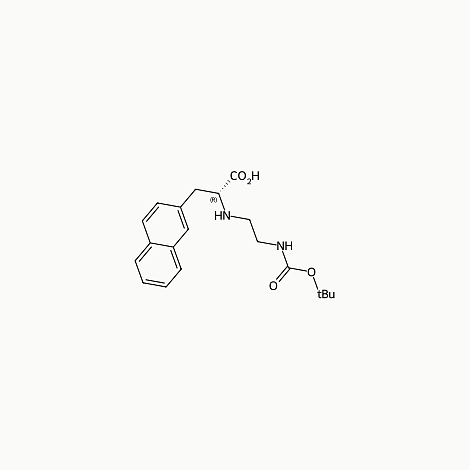 CC(C)(C)OC(=O)NCCN[C@H](Cc1ccc2ccccc2c1)C(=O)O